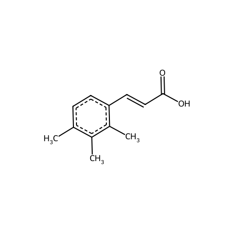 Cc1ccc(C=CC(=O)O)c(C)c1C